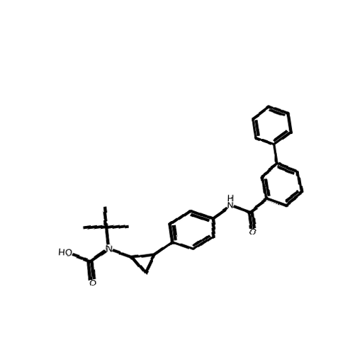 CC(C)(C)N(C(=O)O)C1CC1c1ccc(NC(=O)c2cccc(-c3ccccc3)c2)cc1